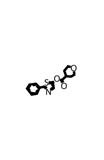 O=C(Oc1cnc(-c2ccccc2)s1)C1CCOCC1